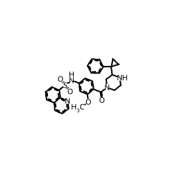 COc1cc(NS(=O)(=O)c2cccc3cccnc23)ccc1C(=O)N1CCNC(C2(c3ccccc3)CC2)C1